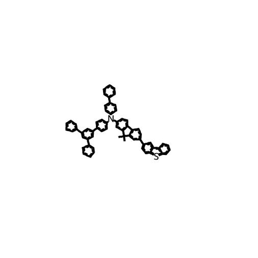 CC1(C)c2cc(-c3ccc4sc5ccccc5c4c3)ccc2-c2ccc(N(c3ccc(-c4ccccc4)cc3)c3ccc(-c4cc(-c5ccccc5)cc(-c5ccccc5)c4)cc3)cc21